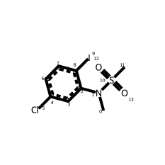 CN(c1cc(Cl)ccc1I)S(C)(=O)=O